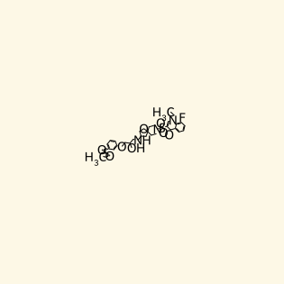 CCn1cc(S(=O)(=O)N2CCC3(CC2)CC(NCC(O)COc2cccc(S(C)(=O)=O)c2)CO3)c(=O)c2cccc(F)c21